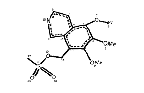 COc1c(OC)c(OC(C)C)c2ccncc2c1COS(C)(=O)=O